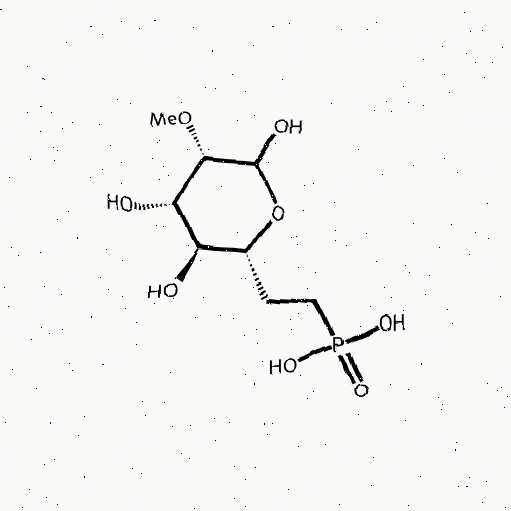 CO[C@@H]1C(O)O[C@H](CCP(=O)(O)O)[C@@H](O)[C@@H]1O